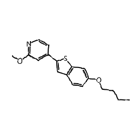 CCCCOc1ccc2cc(-c3ccnc(OC)c3)sc2c1